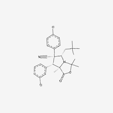 CC(C)(C)C[C@@H]1N2C(C)(C)OC(=O)[C@@]2(C)[C@H](c2cccc(Cl)c2)[C@@]1(C#N)c1ccc(Cl)cc1